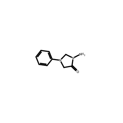 NN1CN(c2ccccc2)CC1=O